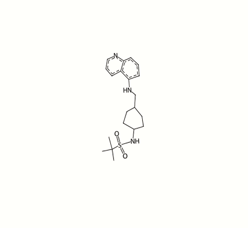 CC(C)(C)S(=O)(=O)NC1CCC(CNc2cccc3ncccc23)CC1